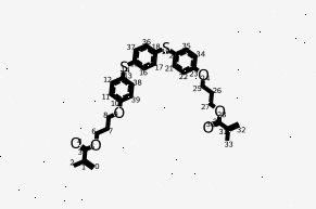 C=C(C)C(=O)OCCCOc1ccc(Sc2ccc(Sc3ccc(OCCCOC(=O)C(=C)C)cc3)cc2)cc1